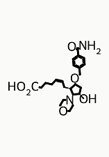 NC(=O)c1ccc(CO[C@H]2C[C@@H](O)[C@H](N3CCOCC3)[C@H]2C/C=C\CCCC(=O)O)cc1